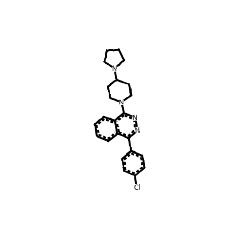 Clc1ccc(-c2nnc(N3CCC(N4CCCC4)CC3)c3ccccc23)cc1